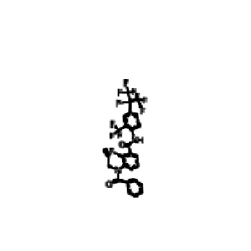 C#CCN(C(=O)c1ccccc1)c1cccc(C(=O)Nc2ccc(C(F)(C(F)(F)F)C(F)(F)F)cc2C(F)(F)F)c1F